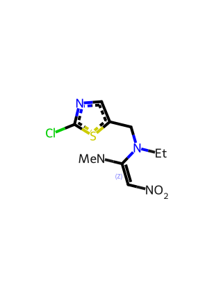 CCN(Cc1cnc(Cl)s1)/C(=C\[N+](=O)[O-])NC